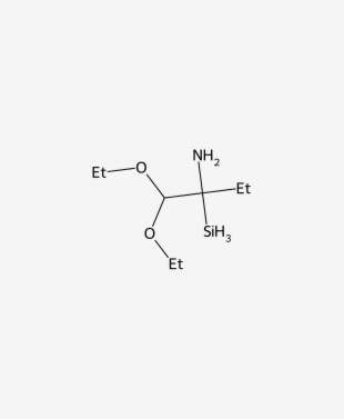 CCOC(OCC)C(N)([SiH3])CC